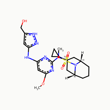 COc1cc(Nc2cc(CO)[nH]n2)nc(N(C)[C@@H]2C[C@H]3CCC[C@@H](C2)N3S(=O)(=O)C2CC2)n1